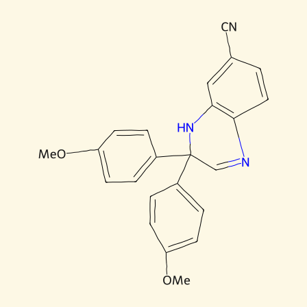 COc1ccc(C2(c3ccc(OC)cc3)C=Nc3ccc(C#N)cc3N2)cc1